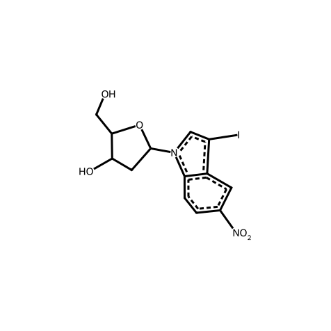 O=[N+]([O-])c1ccc2c(c1)c(I)cn2C1CC(O)C(CO)O1